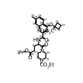 CCOC(=O)N1CCN(C(=O)C(CCC(=O)OC(C)C)NC(=O)c2cc(OC3(C(=O)OCC)CCC3)c3ccc(C)cc3n2)CC1